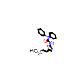 O=C(O)CCc1cnc(NC(=O)N(C2CCCCC2)C2CCCCC2)s1